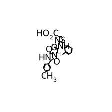 Cc1ccc(C2NC(=O)N([C@@H](Cc3ccccc3)C(=O)Nc3nc(C(=O)O)cs3)C2=O)cc1